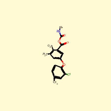 CCCNC(=O)OC(=O)c1cc(Oc2ccc(C(F)(F)F)cc2Cl)cc(C)c1[N+](=O)[O-]